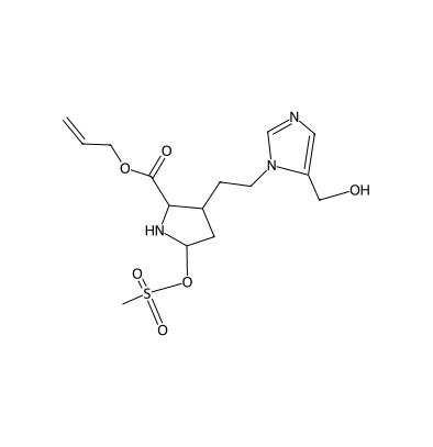 C=CCOC(=O)C1NC(OS(C)(=O)=O)CC1CCn1cncc1CO